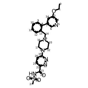 CCOc1cncc(-c2ccccc2CN2CCN(c3ccc(C(=O)NS(C)(=O)=O)nn3)CC2)c1